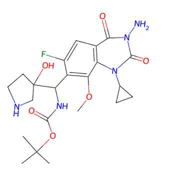 COc1c(C(NC(=O)OC(C)(C)C)C2(O)CCNC2)c(F)cc2c(=O)n(N)c(=O)n(C3CC3)c12